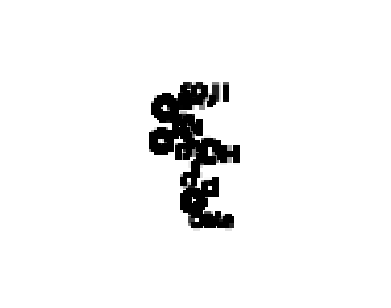 COc1ccc(OCC[C@@H]2CNCCN2C(=O)c2ncn([C@H]3CCCC[C@@H]3NC(=O)O)c2-c2ccccc2)c(Cl)c1